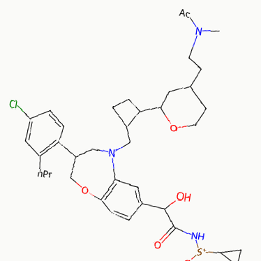 CCCc1cc(Cl)ccc1C1COc2ccc(C(O)C(=O)N[S+]([O-])C3CC3)cc2N(CC2CCC2C2CC(CCN(C)C(C)=O)CCO2)C1